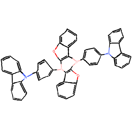 c1ccc2c3c(oc2c1)B(c1ccc(-n2c4ccccc4c4ccccc42)cc1)c1c(oc2ccccc12)B3c1ccc(-n2c3ccccc3c3ccccc32)cc1